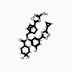 CC(C)(C)c1noc(C23CCC(CN(C(=O)C4CCC(F)(F)CC4)c4cc(F)cc(-c5nc(C6CC6)no5)c4)(CC2)C3)n1